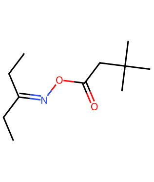 CCC(CC)=NOC(=O)CC(C)(C)C